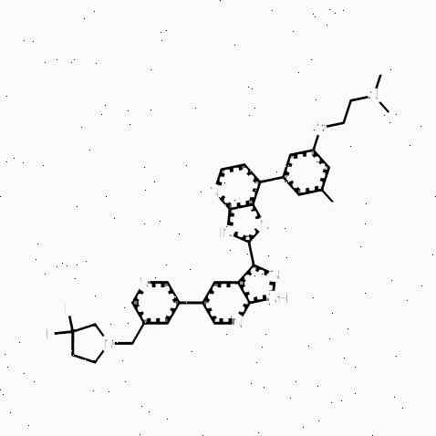 CN(C)CCNc1cc(F)cc(-c2ccnc3[nH]c(-c4n[nH]c5ncc(-c6cncc(CN7CCC(F)(F)C7)c6)cc45)nc23)c1